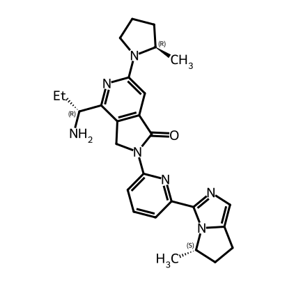 CC[C@@H](N)c1nc(N2CCC[C@H]2C)cc2c1CN(c1cccc(-c3ncc4n3[C@@H](C)CC4)n1)C2=O